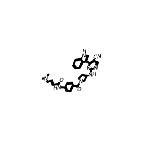 CN(C)CC=CC(=O)Nc1ccc(C(=O)N2CC[C@@H](Nc3ncc(C#N)c(-c4c[nH]c5ccccc45)n3)C2)cc1